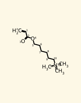 C=CC(=O)OCCCCCC[N+](C)(C)C